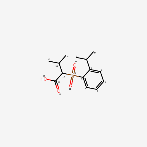 CC(C)c1ccccc1S(=O)(=O)C(C(=O)O)C(C)C